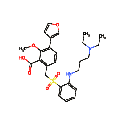 CCN(CC)CCCNc1ccccc1S(=O)(=O)Cc1ccc(-c2ccoc2)c(OC)c1C(=O)O